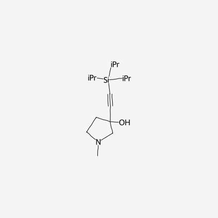 CC(C)[Si](C#CC1(O)CCN(C)C1)(C(C)C)C(C)C